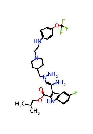 CC(C)COC(=O)c1[nH]c2ccc(F)cc2c1/C(N)=C/N(N)CC1CCN(CCNc2ccc(OC(F)(F)F)cc2)CC1